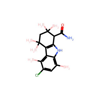 Bc1cc(Cl)c(B)c2c3c([nH]c12)C(C(N)=O)C(B)(B)CC3(B)B